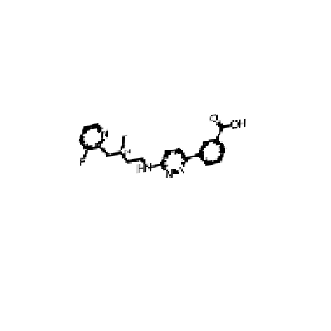 O=C(O)c1cccc(-c2ccc(NCC[C@H](F)Cc3ncccc3F)nn2)c1